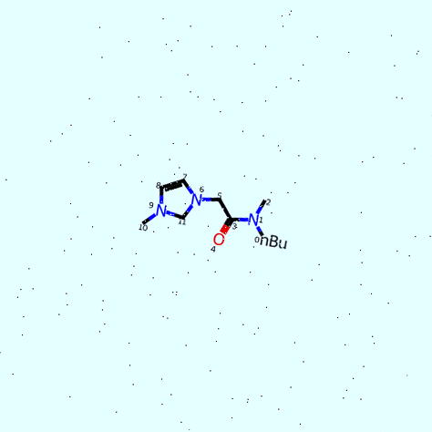 CCCCN(C)C(=O)CN1C=CN(C)C1